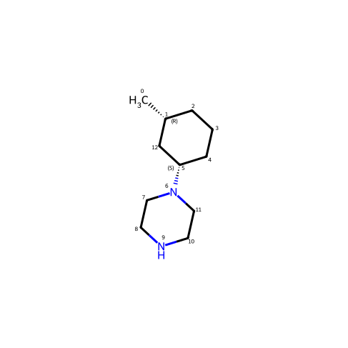 C[C@@H]1CCC[C@H](N2CCNCC2)C1